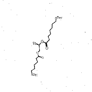 CCCCCCCCCCCCCCCCCC(=O)OC(CC)COC(=O)CCCCCCCCCCCCCCC